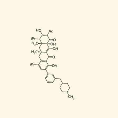 CC(=O)C1=C(O)C(C(C)C)[C@@]2(C)C[C@@]3(C)Cc4c(C(C)C)cc(-c5cccc(CC6CCC(C)CC6)c5)c(O)c4C(=O)C3=C(O)[C@@]2(O)C1=O